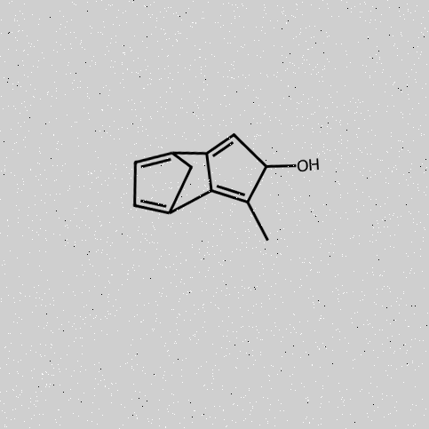 CC1=C2C3=CC=C(C3)C2=CC1O